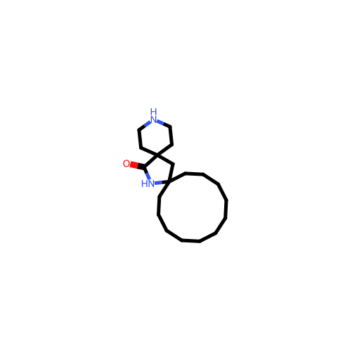 O=C1NC2(CCCCCCCCCCC2)CC12CCNCC2